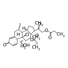 CCC(=O)OCC(=O)[C@]1(OC(=O)CC)[C@@H](C)C[C@H]2[C@@H]3[C@H](I)CC4=CC(=O)C=C[C@]4(C)[C@@]3(Cl)[C@@H](O)C[C@@]21C